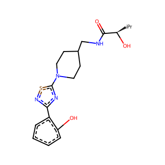 CC(C)[C@@H](O)C(=O)NCC1CCN(c2nc(-c3ccccc3O)ns2)CC1